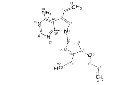 C=CCOC1CC(n2cc(C=C)c3c(N)ncnc32)OC1CO